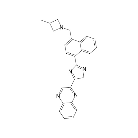 CC1CN(Cc2ccc(C3=NCC(c4cnc5ccccc5n4)=N3)c3ccccc23)C1